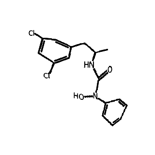 CC(Cc1cc(Cl)cc(Cl)c1)NC(=O)N(O)c1ccccc1